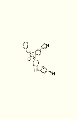 N#Cc1ccc(N[C@H]2CC[C@H](N(C(=O)NCc3ccccc3)c3ccc(-n4ccnc4)cc3)CC2)nc1